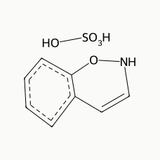 C1=Cc2ccccc2ON1.O=S(=O)(O)O